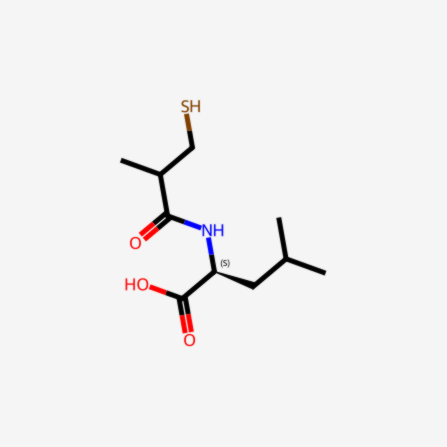 CC(C)C[C@H](NC(=O)C(C)CS)C(=O)O